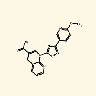 COc1ccc(-c2nsc(N3C=C(C(=O)O)Cc4cccnc43)n2)cn1